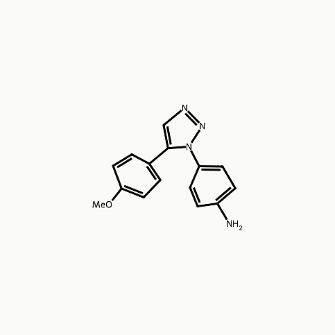 COc1ccc(-c2cnnn2-c2ccc(N)cc2)cc1